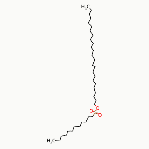 CCCCCCCCCCCCCCCCCCCCCCCCCOS(=O)(=O)CCCCCCCCCCCC